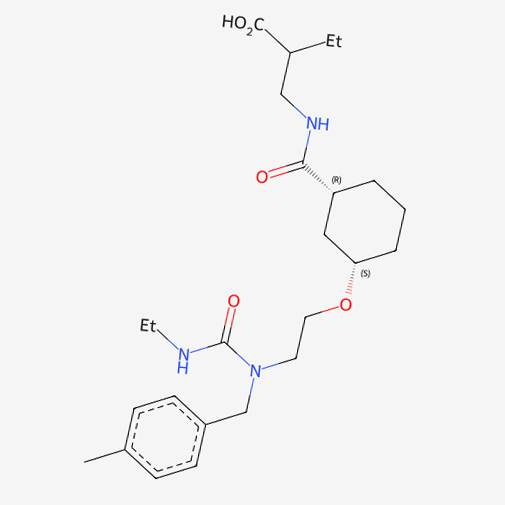 CCNC(=O)N(CCO[C@H]1CCC[C@@H](C(=O)NCC(CC)C(=O)O)C1)Cc1ccc(C)cc1